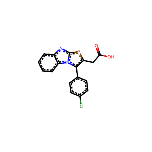 O=C(O)Cc1sc2nc3ccccc3n2c1-c1ccc(Cl)cc1